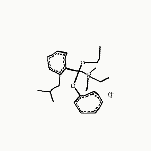 CCOC(Oc1ccccc1)(c1ccccc1CC(C)C)[N+](C)(C)CC.[Cl-]